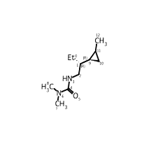 CC[C@@H](CNC(=O)N(C)C)[C@@H]1CC1C